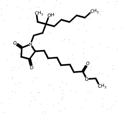 CCCCCCC(O)(CC)CCN1C(=O)CC(=O)C1CCCCCCC(=O)OCC